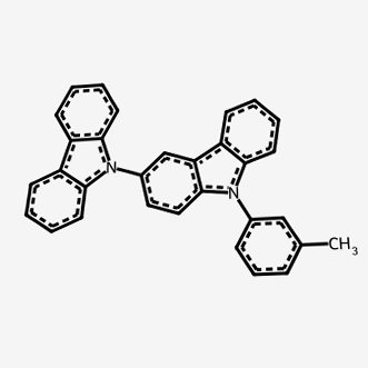 Cc1cccc(-n2c3ccccc3c3cc(-n4c5ccccc5c5ccccc54)ccc32)c1